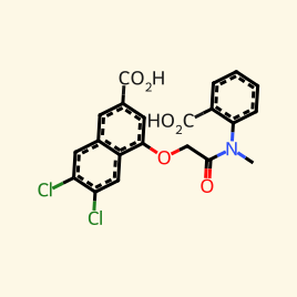 CN(C(=O)COc1cc(C(=O)O)cc2cc(Cl)c(Cl)cc12)c1ccccc1C(=O)O